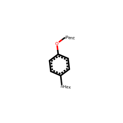 [CH2]C(CCC)Oc1ccc(CCCCCC)cc1